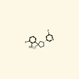 Cc1c(F)cccc1[C@@]1(C(=O)O)CC[C@@H](c2cncc(F)c2)C1